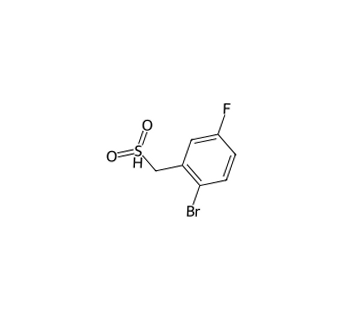 O=[SH](=O)Cc1cc(F)ccc1Br